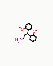 COc1ccccc1C(CCP)c1ccccc1OC